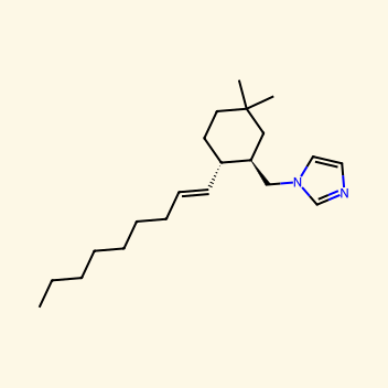 CCCCCCC/C=C/[C@@H]1CCC(C)(C)C[C@H]1Cn1ccnc1